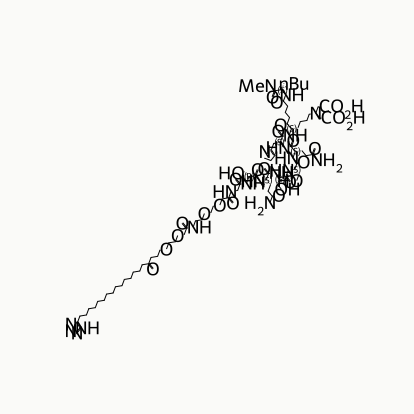 CCCC[C@H](NC(=O)CCCC(=O)[C@H](CCCCN(CC(=O)O)CC(=O)O)NC(=O)[C@H](CC1=CCC=N1)NC(=O)[C@H](CCC(N)=O)NC(=O)[C@H](CO)NC(=O)[C@H](CO)NC(=O)[C@H](CCC(N)=O)NC(=O)[C@@H](CO)NC(=O)CNC(=O)COCCOCCNC(=O)COCCOCCCC(=O)CCCCCCCCCCCCCCCc1nnn[nH]1)C(=O)NC